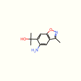 Cc1noc2cc(C(C)(C)O)c(N)cc12